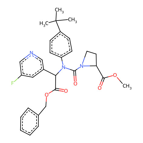 COC(=O)C1CCN1C(=O)N(c1ccc(C(C)(C)C)cc1)C(C(=O)OCc1ccccc1)c1cncc(F)c1